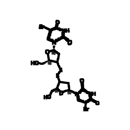 O=c1[nH]c(=O)n([C@@H]2CC(SSC3C[C@@H](n4cc(Br)c(=O)[nH]c4=O)O[C@H]3CO)[C@H](CO)O2)cc1Br